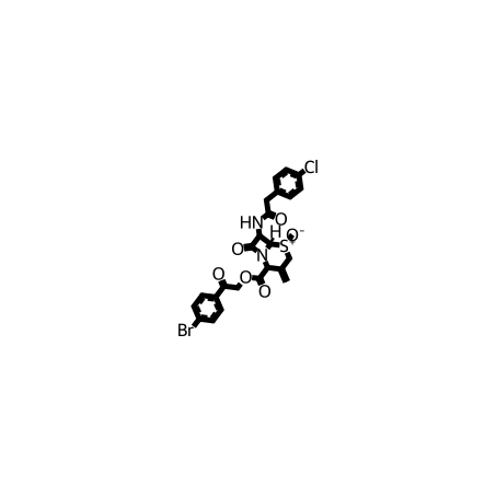 C=C1C[S+]([O-])[C@H]2C(NC(=O)Cc3ccc(Cl)cc3)C(=O)N2C1C(=O)OCC(=O)c1ccc(Br)cc1